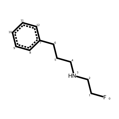 FCCNCCCc1ccccc1